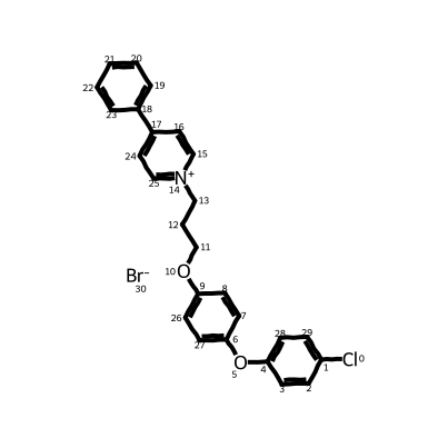 Clc1ccc(Oc2ccc(OCCC[n+]3ccc(-c4ccccc4)cc3)cc2)cc1.[Br-]